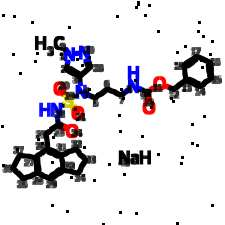 Cn1cc(N(CCCNC(=O)OCc2ccccc2)S(=O)(=O)NC(=O)Cc2c3c(cc4c2CCC4)CCC3)cn1.[NaH]